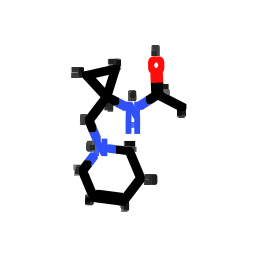 CC(=O)NC1(CN2CC=CCC2)CC1